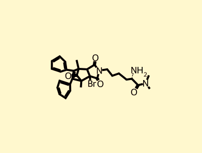 CN(C)C(=O)[C@@H](N)CCCCN1C(=O)C2C3(C)C(=O)C(C)(C(c4ccccc4)=C3c3ccccc3)C2(Br)C1=O